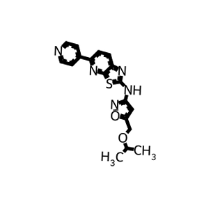 CC(C)OCc1cc(Nc2nc3ccc(-c4ccncc4)nc3s2)no1